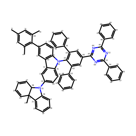 Cc1cc(C)c(-c2ccc3c(c2)c2cc(N4c5ccccc5C5(C)C=CC=CC45)ccc2n3-c2c(-c3ccccc3)cc(-c3nc(-c4ccccc4)nc(-c4ccccc4)n3)cc2-c2ccccc2)c(C)c1